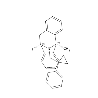 C[C@]12c3ccccc3C[C@H](c3ccccc31)N2CC1(c2ccccc2)CC1